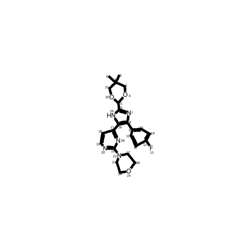 CC1(C)COC(c2nc(-c3ccc(F)cc3)c(-c3ccnc(N4CCOCC4)n3)[nH]2)OC1